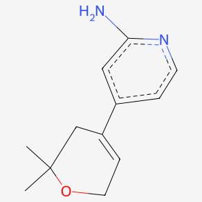 CC1(C)CC(c2ccnc(N)c2)=CCO1